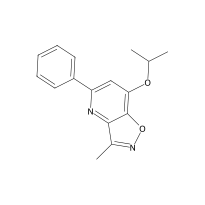 Cc1noc2c(OC(C)C)cc(-c3ccccc3)nc12